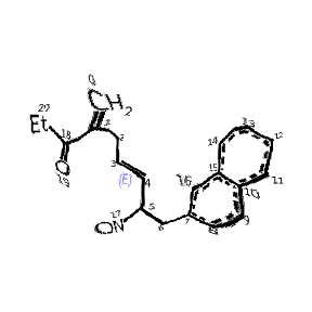 C=C(C/C=C/C(Cc1ccc2ccccc2c1)N=O)C(=O)CC